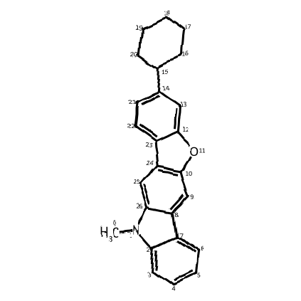 Cn1c2ccccc2c2cc3oc4cc(C5CCCCC5)ccc4c3cc21